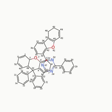 C1=CC2OC3=CCCC=C3C(c3ccccc3)(c3ccccc3-c3nc(-c4ccccc4)nc(-c4cccc5c6c(oc45)C=CCC6)n3)C2C=C1